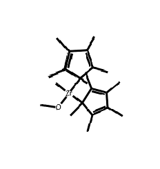 C[O][Zr]([CH3])([C]1(C)C(C)=C(C)C(C)=C1C)[C]1(C)C(C)=C(C)C(C)=C1C